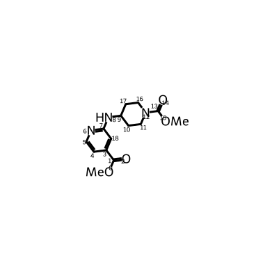 COC(=O)c1ccnc(NC2CCN(C(=O)OC)CC2)c1